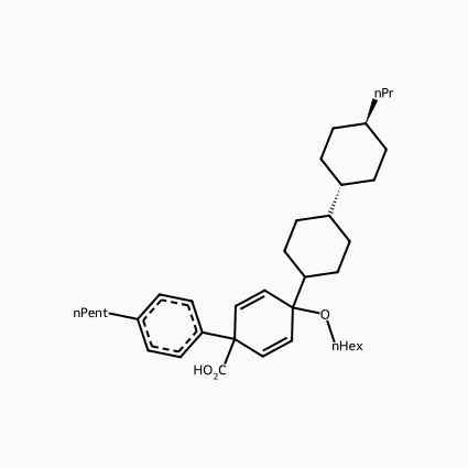 CCCCCCOC1(C2CCC([C@H]3CC[C@H](CCC)CC3)CC2)C=CC(C(=O)O)(c2ccc(CCCCC)cc2)C=C1